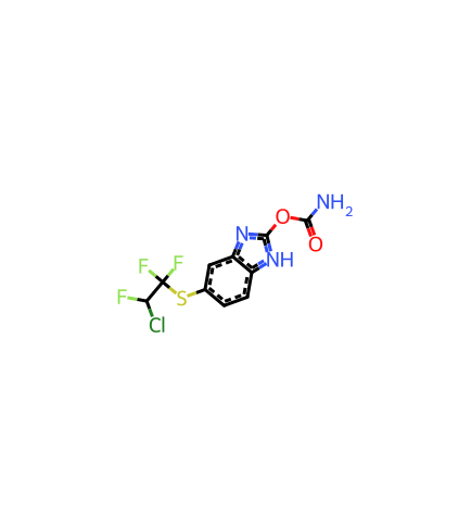 NC(=O)Oc1nc2cc(SC(F)(F)C(F)Cl)ccc2[nH]1